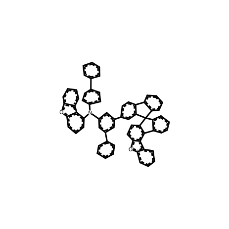 c1ccc(-c2ccc(N(c3cc(-c4ccccc4)cc(-c4ccc5c(c4)C4(c6ccccc6-5)c5ccccc5-c5c4ccc4oc6ccccc6c54)c3)c3cccc4oc5ccccc5c34)cc2)cc1